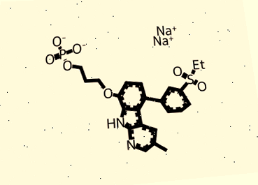 CCS(=O)(=O)c1cccc(-c2ccc(OCCCOP(=O)([O-])[O-])c3[nH]c4ncc(C)cc4c23)c1.[Na+].[Na+]